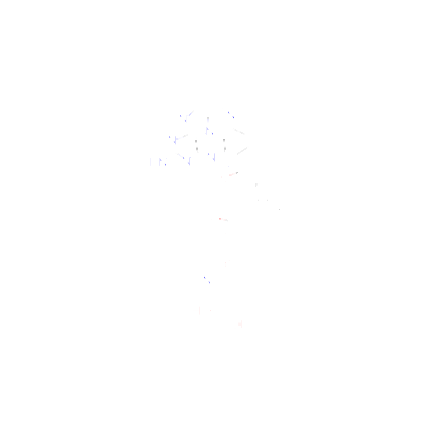 CN(CC(O)CO)CC(O)COC(=O)CC[C@H](CC(=O)c1ccc(N(C)Cc2cnc3nc(N)nc(N)c3n2)cc1)C(=O)O